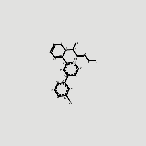 CCC=CC(C)C1CC=CC=C1c1cc(-c2cccc(C)c2)ccn1